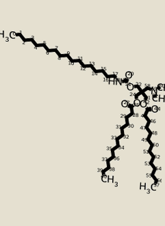 CCCCCCCCCCCCCCCCCCNC(=O)OCC(COC(=O)CCCCCCCCCCCCC)(COC(=O)CCCCCCCCCCCCC)CN(C)C